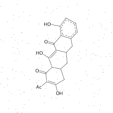 CC(=O)C1=C(O)CC2CC3Cc4cccc(O)c4C(=O)C3=C(O)C2C1=O